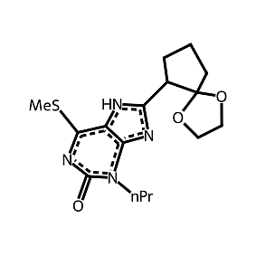 CCCn1c(=O)nc(SC)c2[nH]c(C3CCCC34OCCO4)nc21